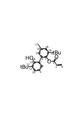 C=CC(=O)Oc1c(-c2cccc(C(C)(C)C)c2O)cc(C)cc1C(C)(C)C